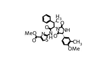 COC(=O)c1csc(NC(=O)[C@H]([C@@H](C)c2ccccc2)N2C(=O)N[C@H](c3ccc(OC)c(C)c3)C2=O)n1